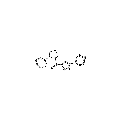 O=C(c1cc(-c2ccnnc2)on1)N1CCC[C@H]1c1ccccc1